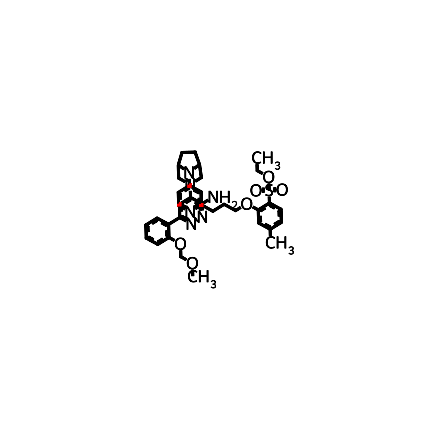 CCOS(=O)(=O)c1ccc(C)cc1OCCCc1cc(N2C3CCC2CN(c2cc(-c4ccccc4OCOC)nnc2N)C3)ccn1